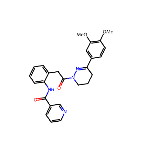 COc1ccc(C2=NN(C(=O)Cc3ccccc3NC(=O)c3cccnc3)CCC2)cc1OC